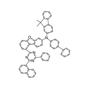 CC1(C)c2ccccc2-c2ccc(N(c3ccc(-c4ccccc4)cc3)c3ccc4c(c3)oc3cccc(-c5nc(-c6ccccc6)nc(-c6cccc7ccccc67)n5)c34)cc21